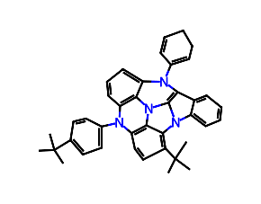 CC(C)(C)c1ccc(-n2c3cccc4c3n3c5c2ccc(C(C)(C)C)c5n2c5ccccc5c(c23)n4C2=CCCC=C2)cc1